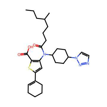 CCCC(C)CCCC(=O)N(c1cc(C2=CCCCC2)sc1C(=O)O)C1CCC(n2ccnn2)CC1